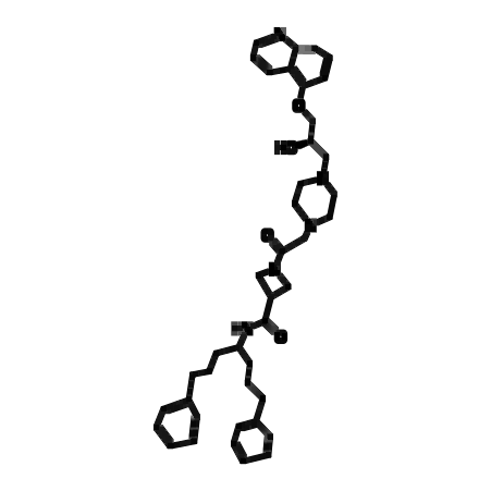 O=C(NC(CCCc1ccccc1)CCCc1ccccc1)C1CN(C(=O)CN2CCN(C[C@@H](O)COc3cccc4ncccc34)CC2)C1